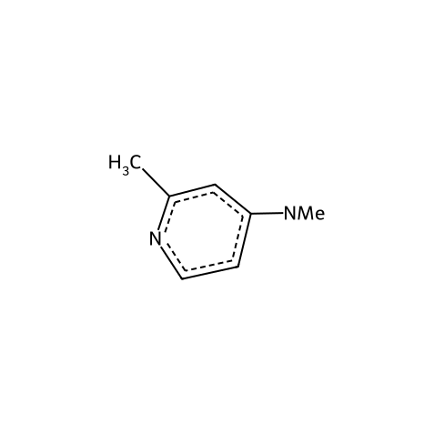 [CH2]Nc1ccnc(C)c1